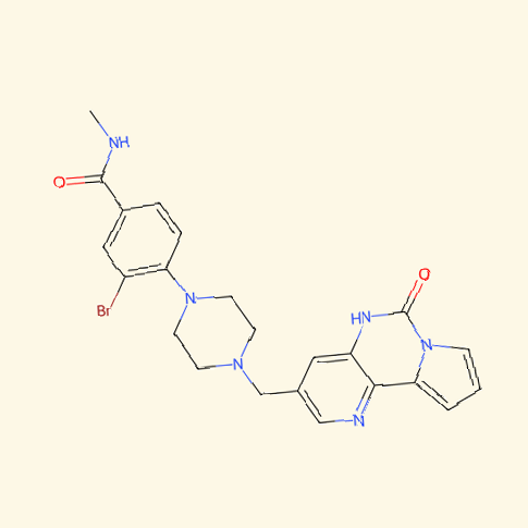 CNC(=O)c1ccc(N2CCN(Cc3cnc4c(c3)[nH]c(=O)n3cccc43)CC2)c(Br)c1